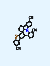 N#Cc1ccc2sc3ccc(-c4cccc(C#N)c4-n4c5ccccc5c5cc(C#N)ccc54)cc3c2c1